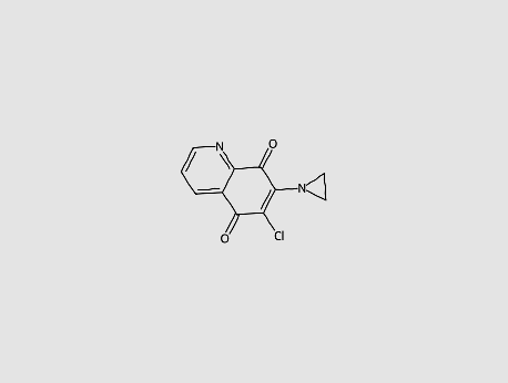 O=C1C(Cl)=C(N2CC2)C(=O)c2ncccc21